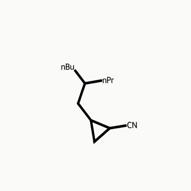 CCCCC(CCC)CC1CC1C#N